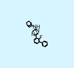 Fc1c(-c2ccccc2)cccc1-c1cnc(NC2CC3CCC2C3)cn1